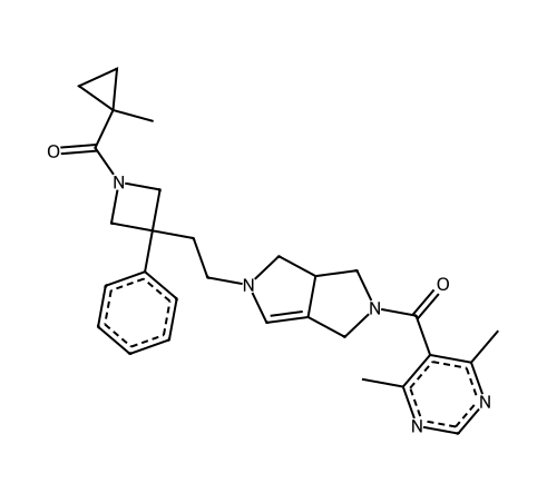 Cc1ncnc(C)c1C(=O)N1CC2=CN(CCC3(c4ccccc4)CN(C(=O)C4(C)CC4)C3)CC2C1